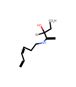 C=C/C=C\CCNC(=C)C(O)(CC)CC(=O)O